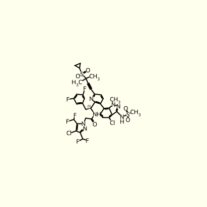 Cn1nc(NS(C)(=O)=O)c2c(Cl)ccc(-c3ccc(C#CC(C)(C)S(=O)(=O)C4CC4)nc3[C@H](Cc3cc(F)cc(F)c3)NC(=O)Cn3nc(C(F)F)c(Cl)c3C(F)F)c21